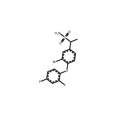 CC(c1ccc(Oc2ccc(F)cc2F)c(Br)c1)S(N)(=O)=O